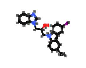 Cc1ccc2c(c1)c1cc(I)ccc1n2CC(O)Cn1cnc2ccccc21